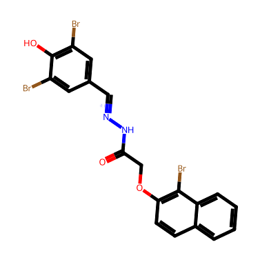 O=C(COc1ccc2ccccc2c1Br)N/N=C/c1cc(Br)c(O)c(Br)c1